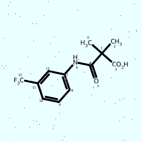 CC(C)(C(=O)O)C(=O)Nc1cccc(C(F)(F)F)c1